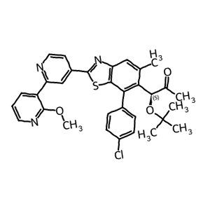 COc1ncccc1-c1cc(-c2nc3cc(C)c([C@H](OC(C)(C)C)C(C)=O)c(-c4ccc(Cl)cc4)c3s2)ccn1